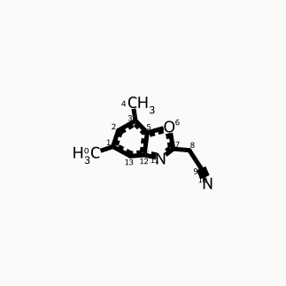 Cc1cc(C)c2oc(CC#N)nc2c1